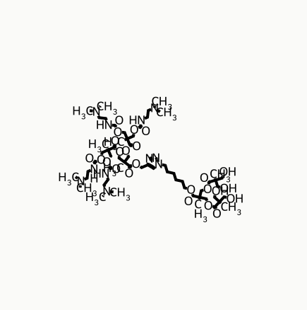 CN(C)CCNC(=O)OCC(C)(COC(=O)NCCN(C)C)C(=O)OCC(C)(COC(=O)C(C)(COC(=O)NCCN(C)C)COC(=O)NCCN(C)C)C(=O)OCc1cn(CCCCCCOC(=O)C(C)(COC(=O)C(C)(CO)CO)COC(=O)C(C)(CO)CO)nn1